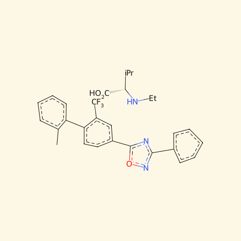 CCN[C@H](C(=O)O)C(C)C.Cc1ccccc1-c1ccc(-c2nc(-c3ccccc3)no2)cc1C(F)(F)F